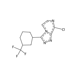 FC(F)(F)C1CCCC(c2nnc3c(Cl)nccn23)C1